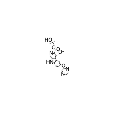 COCc1c(C(=O)OCC(C)(C)O)ncc2[nH]c3ccc(Oc4cnccn4)cc3c12